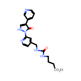 CCOC(=O)CCCNC(=O)NCc1ccnc(-n2[nH]cc(-c3cccnc3)c2=O)c1